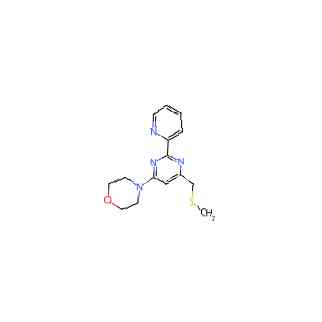 CSCc1cc(N2CCOCC2)nc(-c2ccccn2)n1